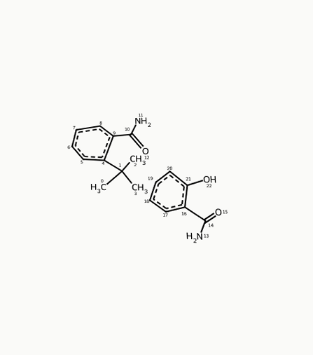 CC(C)(C)c1ccccc1C(N)=O.NC(=O)c1ccccc1O